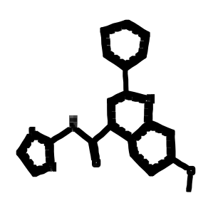 COc1ccc2c(C(=O)Nc3nccs3)cc(-c3ccccc3)nc2c1